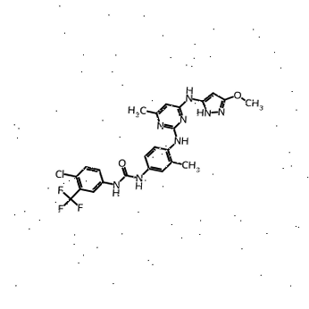 COc1cc(Nc2cc(C)nc(Nc3ccc(NC(=O)Nc4ccc(Cl)c(C(F)(F)F)c4)cc3C)n2)[nH]n1